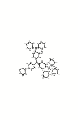 c1ccc(-c2ccc(N(c3ccc([Si](c4ccccc4)(c4ccccc4)c4ccccc4)cc3)c3ccc4c(c3)Oc3ccccc3N4c3ccccc3)cc2)cc1